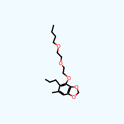 CCCCOCCOCCOc1c(CCC)c(C)cc2c1OCO2